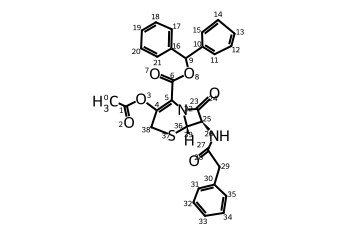 CC(=O)OC1=C(C(=O)OC(c2ccccc2)c2ccccc2)N2C(=O)[C@@H](NC(=O)Cc3ccccc3)[C@@H]2SC1